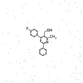 Cc1nc(-c2ccccc2)cc(-c2ccc(F)cc2)c1CO